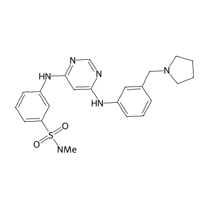 CNS(=O)(=O)c1cccc(Nc2cc(Nc3cccc(CN4CCCC4)c3)ncn2)c1